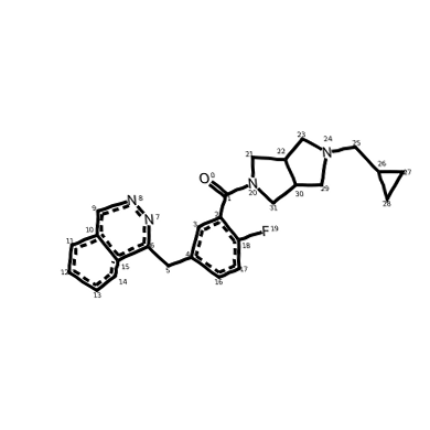 O=C(c1cc(Cc2nncc3ccccc23)ccc1F)N1CC2CN(CC3CC3)CC2C1